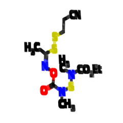 CCOC(=O)N(C)SN(C)C(=O)ON=C(C)SSCCC#N